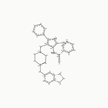 Cc1[nH]c(-c2ccccc2)c(CN2CCN(Cc3ccc4c(c3)OCO4)CC2)c1NC(=O)c1cnccn1